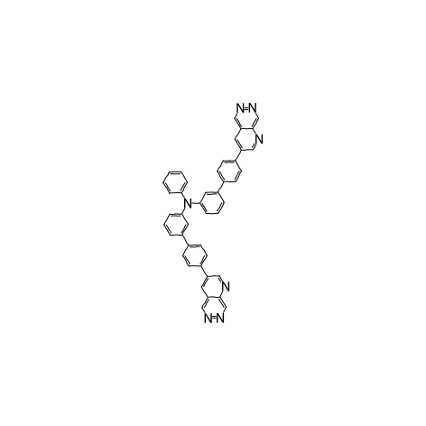 c1ccc(N(c2cccc(-c3ccc(-c4cnc5cnncc5c4)cc3)c2)c2cccc(-c3ccc(-c4cnc5cnncc5c4)cc3)c2)cc1